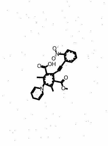 COC(=O)c1c(C)c(N2C=CCC=C2)c(C)c(C(=O)O)c1C#Cc1ccccc1[N+](=O)[O-]